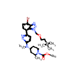 C[C@@H]1C[C@H](N(C)c2ccc(-c3ccc(Br)c4nnn(COCC[Si](C)(C)C)c34)nn2)CCN1C(=O)OC(C)(C)C